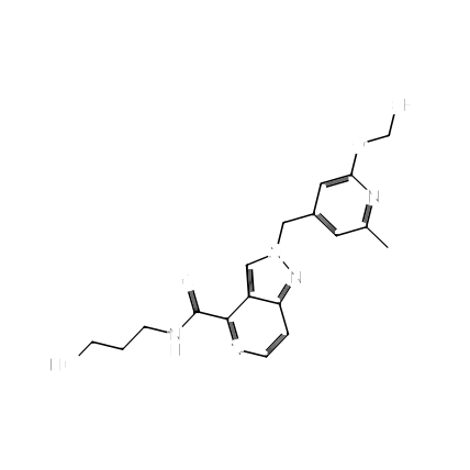 Cc1cc(Cn2cc3c(C(=O)NCCCO)nccc3n2)cc(OCC(F)(F)F)n1